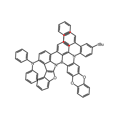 CC(C)(C)c1ccc(N2c3cc4c(cc3B3c5c(cc(-c6ccccc6)cc52)-c2ccc(N(c5ccccc5)c5ccccc5)c5c6c7ccccc7oc6n3c25)Oc2ccccc2O4)c(-c2ccccc2)c1